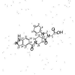 O=C(O)CN1CN(c2ccccc2)C2(CCN(C(=O)c3ccc4[nH]ncc4c3)CC2)C1=O